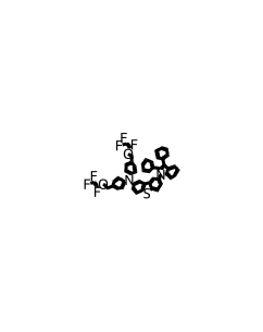 FC(F)=C(F)OCc1ccc(N(c2ccc(COC(F)=C(F)F)cc2)c2ccc3sc4ccc(-n5c(-c6ccccc6)c(-c6ccccc6)c6ccccc65)cc4c3c2)cc1